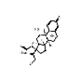 CCCCCCCCCC(=O)O[C@]1(C(=O)CCl)CC[C@H]2[C@@H]3CCC4=CC(=O)C=C[C@]4(C)[C@H]3[C@@H](O)C[C@@]21C